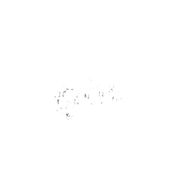 CC(C)(C)OC(=O)N1CCN(c2ccn3ncc(Br)c3n2)C2CC21